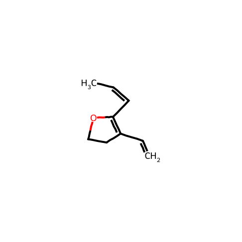 C=CC1=C(/C=C\C)OCC1